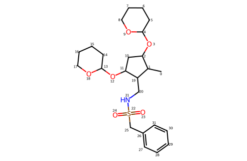 C[C]1C(OC2CCCCO2)CC(OC2CCCCO2)C1CNS(=O)(=O)Cc1ccccc1